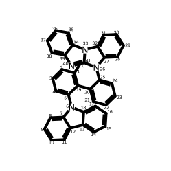 Cc1cccc(-n2c3ccccc3c3ccccc32)c1-c1ccccc1-n1c2ccccc2n2c3ccccc3nc12